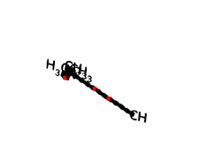 C#CC#CC#CC#CC#CC#CC#CC#CC#CC#CC#C[N+]1=C(C)C(C)(C)c2ccccc21